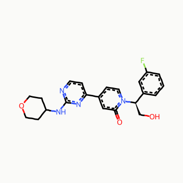 O=c1cc(-c2ccnc(NC3CCOCC3)n2)ccn1[C@H](CO)c1cccc(F)c1